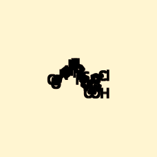 Cc1cc2nc(-c3ccc4c(n3)c(N3CCN(C5CS(=O)(=O)C5)CC3)nn4C)sc2c(-c2ccc(Cl)cc2)c1[C@H](OC(C)(C)C)C(=O)O